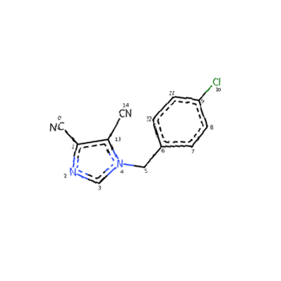 N#Cc1ncn(Cc2ccc(Cl)cc2)c1C#N